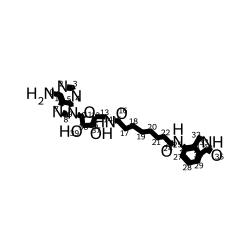 Nc1ncnc2c1ncn2C1OC(CNC(=O)CCCCCCC(=O)Nc2cccc3c2CNC3=O)C(O)C1O